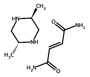 C[C@@H]1CN[C@@H](C)CN1.NC(=O)/C=C/C(N)=O